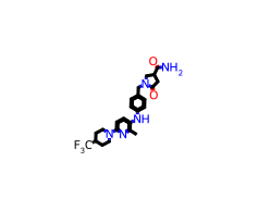 Cc1nc(N2CCC(C(F)(F)F)CC2)ccc1Nc1ccc(CN2CC(C(N)=O)CC2=O)cc1